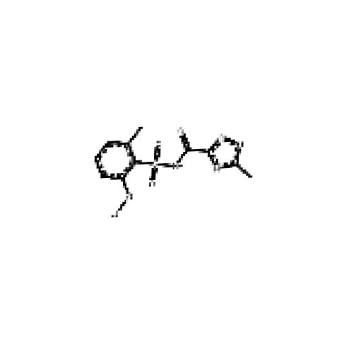 CCOc1cccc(C)c1S(=O)(=O)NC(=O)c1noc(C)n1